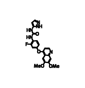 COc1cc2nccc(Oc3ccc(NC(=O)Nc4ccn[nH]4)c(F)c3)c2cc1OC